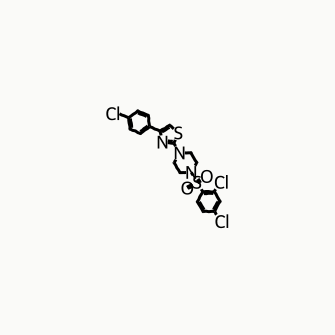 O=S(=O)(c1ccc(Cl)cc1Cl)N1CCN(c2nc(-c3ccc(Cl)cc3)cs2)CC1